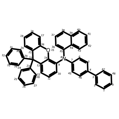 c1ccc(-c2ccc(N(c3cccc4c3Oc3ccccc3C4(c3ccccc3)c3ccccc3)c3cccc4ccccc34)cc2)cc1